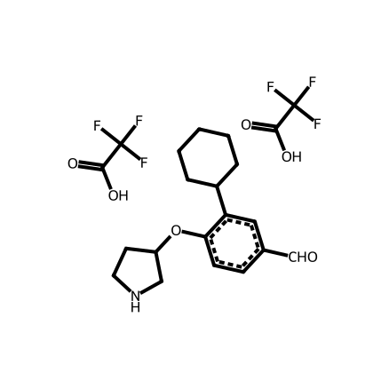 O=C(O)C(F)(F)F.O=C(O)C(F)(F)F.O=Cc1ccc(OC2CCNC2)c(C2CCCCC2)c1